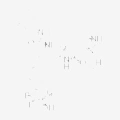 Cc1ccccc1NC(=O)Nc1cc2ccccc2cc1C(=O)N[C@@H](Cc1c[nH]cn1)C(=O)O.O=C(O)C(F)(F)F